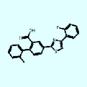 Cc1ccccc1-c1ccc(-c2nc(-c3ccccc3F)cs2)cc1C(=O)O